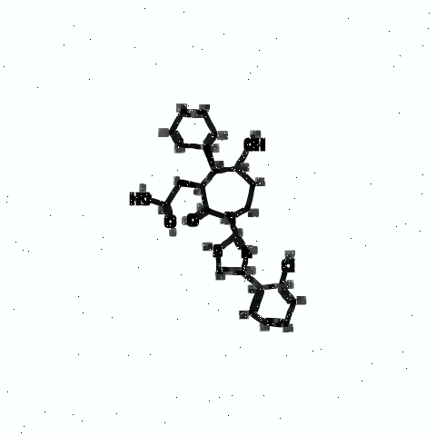 O=C(O)C[C@@H]1C(=O)N(c2nc(-c3ccccc3Cl)cs2)CCC(O)[C@@H]1c1ccccc1